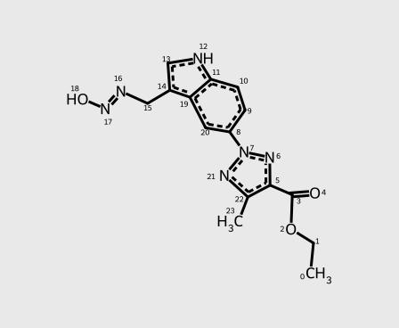 CCOC(=O)c1nn(-c2ccc3[nH]cc(CN=NO)c3c2)nc1C